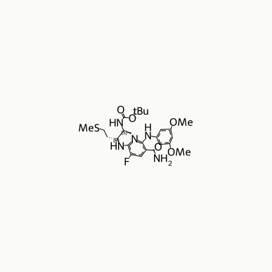 COc1cc(Nc2nc(N[C@H](CCSC)[C@H](C)NC(=O)OC(C)(C)C)c(F)cc2C(N)=O)cc(OC)c1